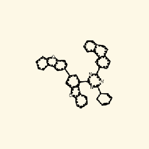 C1=CCC(c2nc(-c3ccc4ccc5ccccc5c4c3)nc(-c3cc(-c4ccc5oc6ccccc6c5c4)cc4oc5ccccc5c34)n2)C=C1